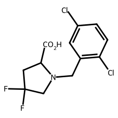 O=C(O)C1CC(F)(F)CN1Cc1cc(Cl)ccc1Cl